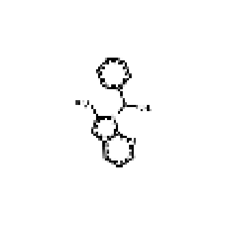 CC(c1ccccc1)n1c(C(=O)O)cc2cccnc21